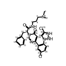 CN(C)CCCNC(=O)[C@H](Cc1ccccc1)n1cnc(-c2cc(Cl)ccc2N2C=C(Cl)NN2)cc1=O